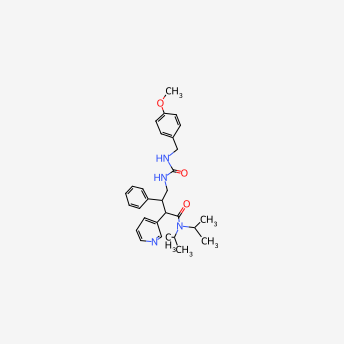 COc1ccc(CNC(=O)NCC(c2ccccc2)C(C(=O)N(C(C)C)C(C)C)c2cccnc2)cc1